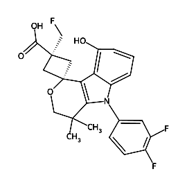 CC1(C)CO[C@]2(C[C@](CF)(C(=O)O)C2)c2c1n(-c1ccc(F)c(F)c1)c1cccc(O)c12